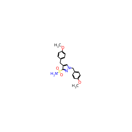 COc1ccc(Cc2cn(Cc3ccc(OC)cc3)nc2S(N)(=O)=O)cc1